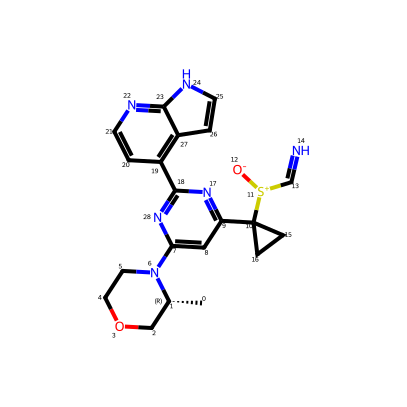 C[C@@H]1COCCN1c1cc(C2([S+]([O-])C=N)CC2)nc(-c2ccnc3[nH]ccc23)n1